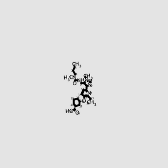 CCCCN(C)C(=O)NCC1C(c2ccc(O[C@H]3CCC[C@H](C(=O)O)C3)c(CC)n2)N=NN1C